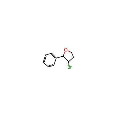 BrC1CCOC1c1ccccc1